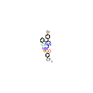 O=S(=O)(NCc1ncc(-c2ccc(Br)cc2)c(-c2ccccc2Cl)n1)c1ccc(C(F)(F)F)cc1